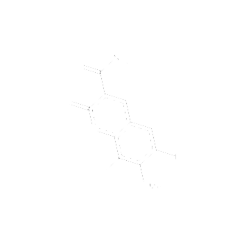 COc1c(F)cc2cc(C(N)=O)c(=O)oc2c1F